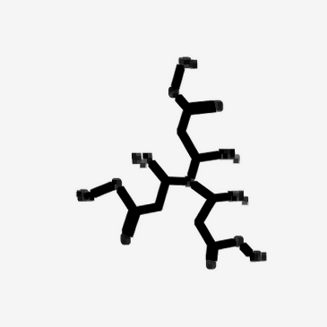 CC(C)(C)OC(=O)CC(N)N(C(N)CC(=O)OC(C)(C)C)C(N)CC(=O)OC(C)(C)C